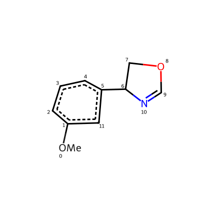 COc1cccc(C2COC=N2)c1